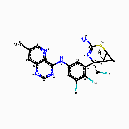 COc1cnc2c(Nc3cc(F)c(F)c([C@@]4(CF)N=C(N)SC5C[C@H]54)c3)ncnc2c1